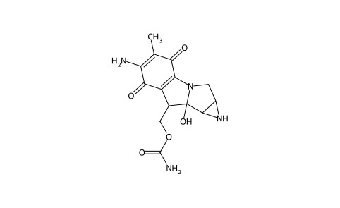 CC1=C(N)C(=O)C2=C(C1=O)N1CC3NC3C1(O)C2COC(N)=O